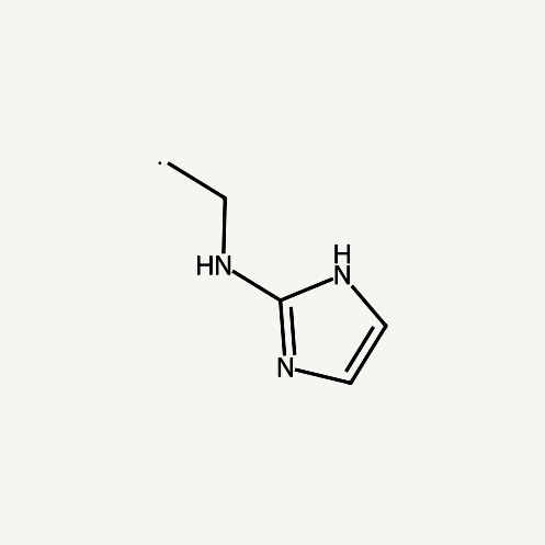 [CH2]CNc1ncc[nH]1